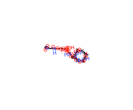 C/C=C(\C)[C@H]1OC(=O)[C@@H](C)NC(=O)C(C(C)CC)NC(=O)CN(C)C(=O)[C@@H](Cc2ccc(OC(=O)NCCOP(=O)(O)CP(=O)(O)OCCOCCOCCOCCNC(=O)CCCCCN3C(=O)C=CC3=O)cc2)N(C)C(=O)[C@H](C)NC(=O)[C@@H](CC(C)C)OC(=O)/C(C)=C/CC[C@@H]1C